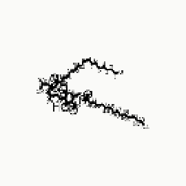 CCCCCCCC/C=C\CCCCCCCC(=O)OC(C=C(C)C)C/C(C)=C/Cc1c(OC)cc(COC(=O)CCCCCCCCCCCCCCC)c(C=O)c1O